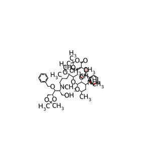 CO[C@](C)(C[C@@H](C)CN(C)[C@@H](CO)[C@H](OCc1ccccc1)[C@@H]1COC(C)(C)O1)[C@H](O[C@@H]1O[C@H](C)C[C@H](N(C)C)[C@H]1OC(=O)c1ccccc1)[C@@H](C)C1=C(C)C(=O)OC(C)(C)O1